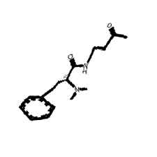 CC(=O)CCNC(=O)[C@H](Cc1ccccc1)N(C)C